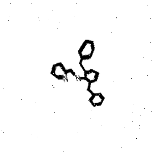 C(=Nc1c(Cc2ccccc2)cccc1Cc1ccccc1)c1ccccn1